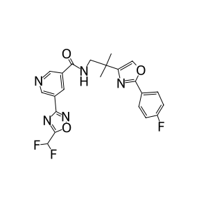 CC(C)(CNC(=O)c1cncc(-c2noc(C(F)F)n2)c1)c1coc(-c2ccc(F)cc2)n1